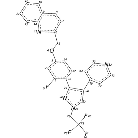 Fc1cc(OCc2ccc3ccccc3n2)ccc1-c1nn(CC(F)(F)F)cc1-c1ccncc1